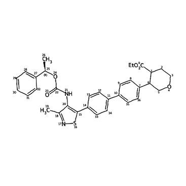 CCOC(=O)C1CCOCC1c1ccc(-c2ccc(-c3snc(C)c3NC(=O)O[C@H](C)c3ccccc3)cc2)cc1